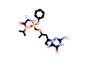 CC(C)OC(=O)[C@H](C)NP(=O)(COC(C)Cc1cnc2c(=O)[nH]c(N)nn12)Oc1ccccc1